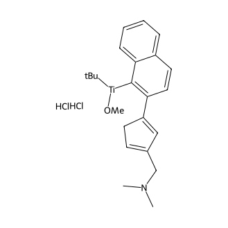 C[O][Ti]([c]1c(C2=CC(CN(C)C)=CC2)ccc2ccccc12)[C](C)(C)C.Cl.Cl